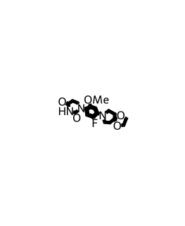 COc1cc(N2CCC3(CC2)OCCO3)c(F)cc1N1CCC(=O)NC1=O